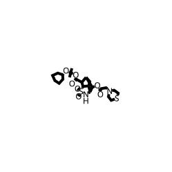 CC(C)(OC(=O)C1C2CC3C(NS(=O)(=O)C31)C2OC(=O)CN1CCSCC1)OC1CCCCC1